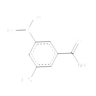 NC(=O)c1cc(N)cc(B(O)O)c1